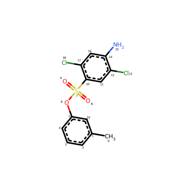 Cc1cccc(OS(=O)(=O)c2cc(Cl)c(N)cc2Cl)c1